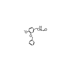 COc1ccc(CCNC=O)cc1OCc1ccccc1